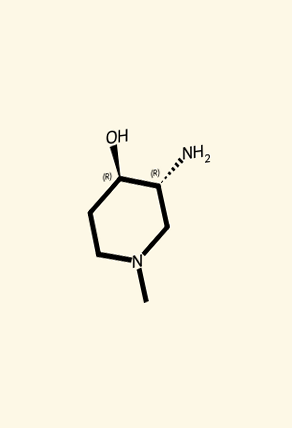 CN1CC[C@@H](O)[C@H](N)C1